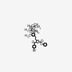 Cc1cc(CCC2CN(C(=O)Oc3ccccc3)CC2C(=O)c2ccc(Br)cc2)cc(C)c1OC(C)(C)C(=O)OC(C)(C)C